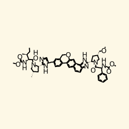 CC[C@H](C)[C@H](NC(=O)OC)C(O)N1C[C@@H](C)C[C@H]1c1ncc(-c2ccc3c(c2)COc2cc4c(ccc5nc([C@@H]6C[C@H](COC)CN6C(=O)[C@H](NC(=O)OC)c6ccccc6)[nH]c54)cc2-3)[nH]1